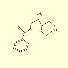 CC(COC(=O)c1ccccc1)C1CCNCC1